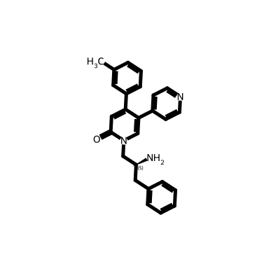 Cc1cccc(-c2cc(=O)n(C[C@@H](N)Cc3ccccc3)cc2-c2ccncc2)c1